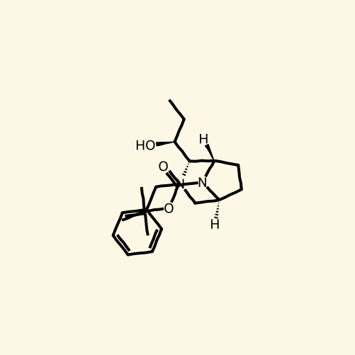 CC[C@H](O)[C@@H]1[C@@H]2CC[C@@H](CN1Cc1ccccc1)N2C(=O)OC(C)(C)C